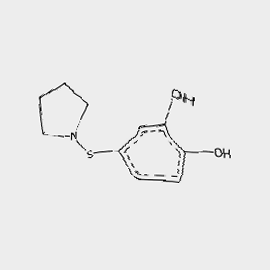 Oc1ccc(SN2CCCC2)cc1O